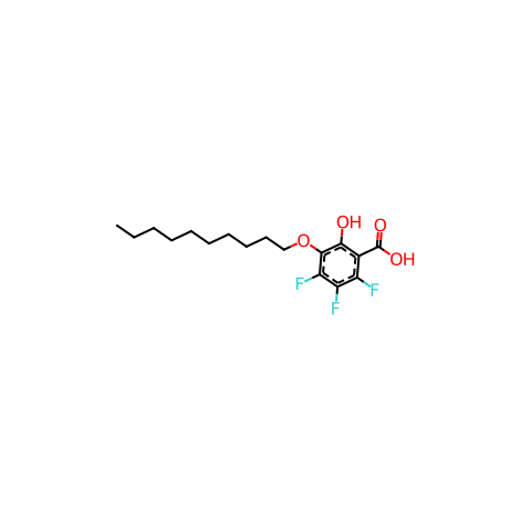 CCCCCCCCCCOc1c(O)c(C(=O)O)c(F)c(F)c1F